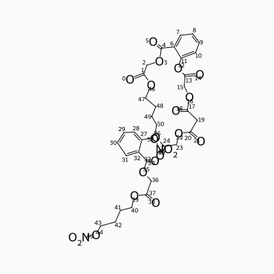 O=C(COC(=O)c1ccccc1OC(=O)COC(=O)CC(=O)OCC(=O)Oc1ccccc1C(=O)OCC(=O)OCCCCO[N+](=O)[O-])OCCCCO[N+](=O)[O-]